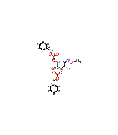 CO/N=C\[C@@H](F)C(OC(=O)OCc1ccccc1)[C@@H](Br)COC(=O)OCc1ccccc1